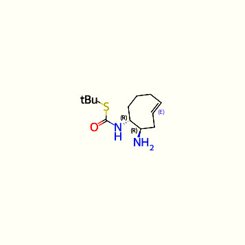 CC(C)(C)SC(=O)N[C@@H]1CCC/C=C/C[C@H]1N